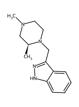 C[C@H]1CN(C)CCN1Cc1n[nH]c2ccccc12